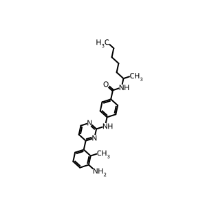 CCCCCC(C)NC(=O)c1ccc(Nc2nccc(-c3cccc(N)c3C)n2)cc1